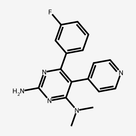 CN(C)c1nc(N)nc(-c2cccc(F)c2)c1-c1ccncc1